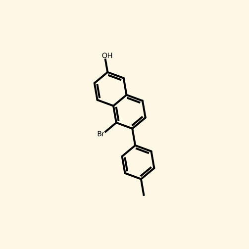 Cc1ccc(-c2ccc3cc(O)ccc3c2Br)cc1